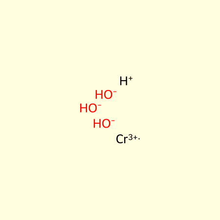 [Cr+3].[H+].[OH-].[OH-].[OH-]